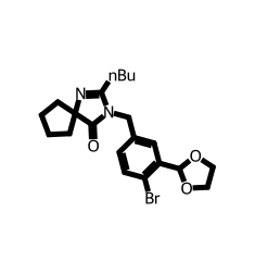 CCCCC1=NC2(CCCC2)C(=O)N1Cc1ccc(Br)c(C2OCCO2)c1